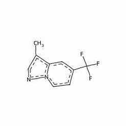 Cc1cnn2ccc(C(F)(F)F)cc12